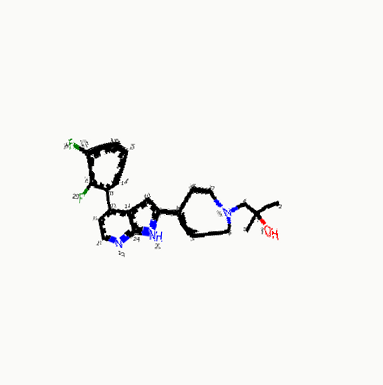 CC(C)(O)CN1CC=C(c2cc3c(-c4cccc(F)c4F)ccnc3[nH]2)CC1